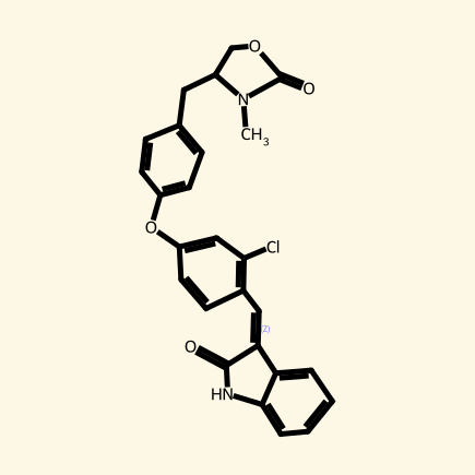 CN1C(=O)OCC1Cc1ccc(Oc2ccc(/C=C3\C(=O)Nc4ccccc43)c(Cl)c2)cc1